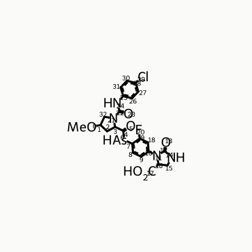 COC1CC(C(=O)[AsH]c2ccc(N3C(=O)NCC3C(=O)O)cc2F)N(C(=O)Nc2ccc(Cl)cc2)C1